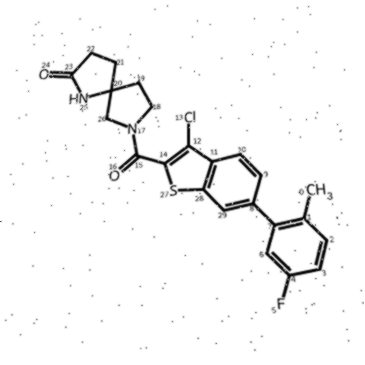 Cc1ccc(F)cc1-c1ccc2c(Cl)c(C(=O)N3CCC4(CCC(=O)N4)C3)sc2c1